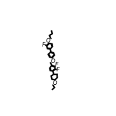 CCCCOc1ccc(-c2ccc(OCc3ccc(C4CCC(OCCC)CC4)c(F)c3F)cc2)cc1F